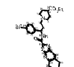 CCOC(=O)C1CCN(CCC(NC(=O)c2nc3cc4c(nc3s2)CCC(C(C)(C)C)C4)c2ccc(Br)cc2)CC1